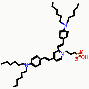 CCCCCCN(CCCCCC)c1ccc(/C=C/c2cc[n+](CCCS(=O)(=O)O)c(/C=C/c3ccc(N(CCCCCC)CCCCCC)cc3)c2)cc1